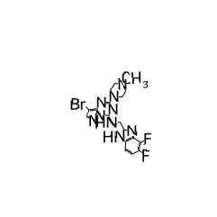 CN1CCN(c2nc(NCc3nc4c(F)c(F)ccc4[nH]3)n3ncc(Br)c3n2)CC1